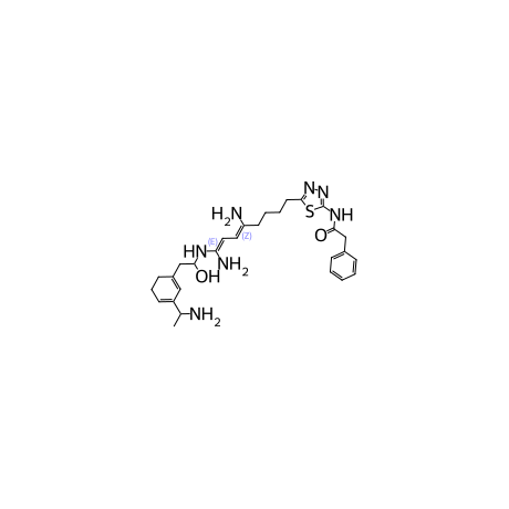 CC(N)C1=CCCC(CC(O)N/C(N)=C/C=C(\N)CCCCc2nnc(NC(=O)Cc3ccccc3)s2)=C1